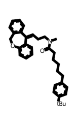 CN(CCC=C1c2ccccc2COc2ccccc21)C(=O)CCCCCc1ccc(C(C)(C)C)cc1